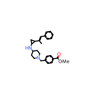 COC(=O)c1ccc(CN2CCC(NC3CC3/C(C)=C/c3ccccc3)CC2)cc1